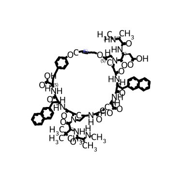 CN[C@@H](C)C(=O)N[C@@H](CC(=O)O)C(=O)N1C[C@@H]2CC1C(=O)N[C@@H](Cc1ccc3ccccc3c1)C(=O)N[C@H](C(=O)O)CCC(=O)NC1CC(C(=O)N[C@@H](Cc3ccc4ccccc4c3)C(=O)N[C@H](C(=O)O)Cc3ccc(cc3)OC/C=C/CO2)N(C(=O)[C@@H](NC(=O)[C@H](C)NC)C(C)(C)C)C1